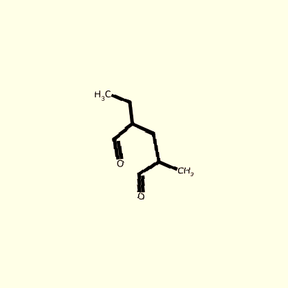 CCC(C=O)CC(C)C=O